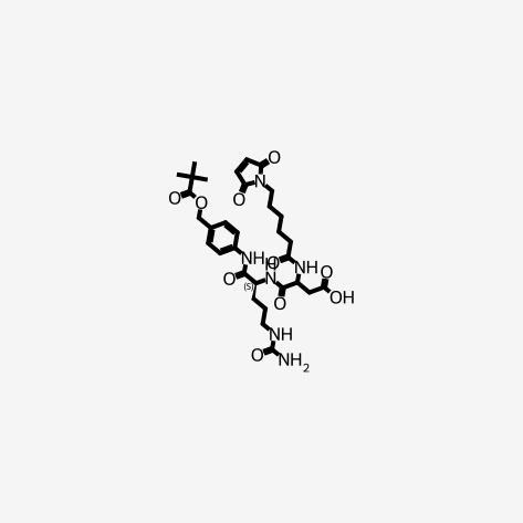 CC(C)(C)C(=O)OCc1ccc(NC(=O)[C@H](CCCNC(N)=O)NC(=O)C(CC(=O)O)NC(=O)CCCCCN2C(=O)C=CC2=O)cc1